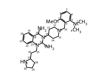 COc1cccc(N(C)C)c1CN1CCC(N2C(N)c3ccccc3N(CCC3CCCN3)C2N)CC1